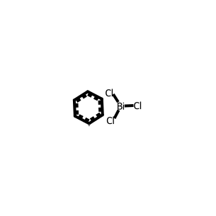 [Cl][Bi]([Cl])[Cl].[c]1ccccc1